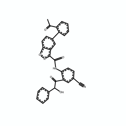 CC(=O)c1ccccc1-c1ccc2onc(C(=O)Nc3ccc(C#N)cc3C(=O)C(O)c3ccccc3)c2c1